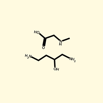 CNCC(=O)O.NCCC(O)CN